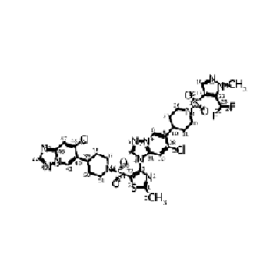 Cc1nc(-n2cn[n+]3cc(C4CCN(S(=O)(=O)c5cnn(C)c5C(F)F)CC4)c(Cl)cc23)c(S(=O)(=O)N2CCC(c3cn4ncnc4cc3Cl)CC2)s1